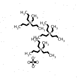 CCC[N+](CC)(CCC)CCC.CCC[N+](CC)(CCC)CCC.CCC[N+](CC)(CCC)CCC.O=P([O-])([O-])[O-]